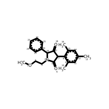 COCCN1C(=O)C(c2c(C)cc(C)cc2C)C(=O)C1c1ccccc1